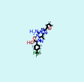 Nc1nc2c(cnn2C(C(=O)O)c2ccc(C(F)(F)F)cc2)c2nc(-c3ccco3)nn12